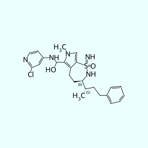 C[C@@H](CCc1ccccc1)[C@H]1CCc2c(cn(C)c2C(O)Nc2ccnc(Cl)c2)S(=N)(=O)N1